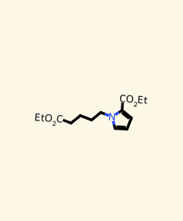 CCOC(=O)CCCCn1cccc1C(=O)OCC